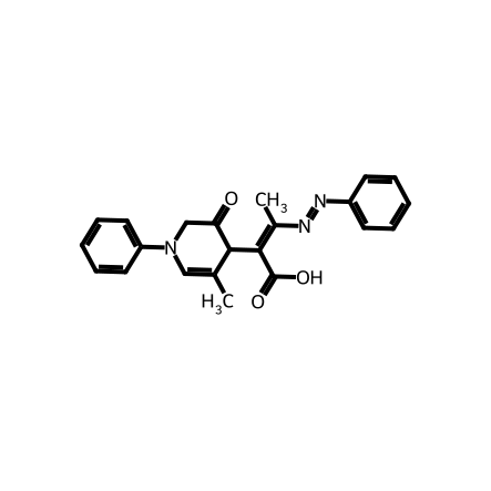 CC1=CN(c2ccccc2)CC(=O)C1/C(C(=O)O)=C(C)/N=N/c1ccccc1